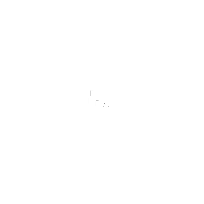 [Ac+3].[F-].[F-].[F-]